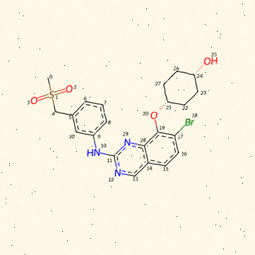 CS(=O)(=O)Cc1cccc(Nc2ncc3ccc(Br)c(O[C@H]4CC[C@@H](O)CC4)c3n2)c1